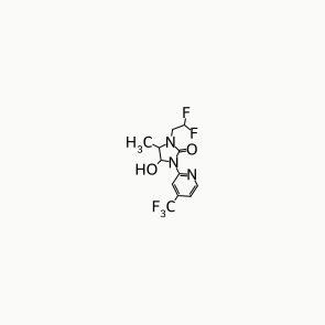 CC1C(O)N(c2cc(C(F)(F)F)ccn2)C(=O)N1CC(F)F